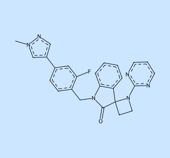 Cn1cc(-c2ccc(CN3C(=O)C4(CCN4c4ncccn4)c4ccccc43)c(F)c2)cn1